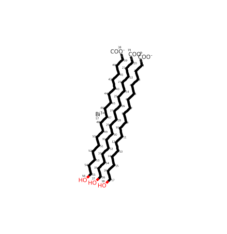 O=C([O-])CCCCCCCCCCCCCCCCCO.O=C([O-])CCCCCCCCCCCCCCCCCO.O=C([O-])CCCCCCCCCCCCCCCCCO.[Bi+3]